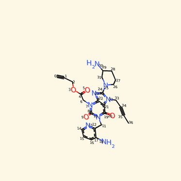 C#CCOC(=O)Cn1c(=O)n(Cc2ncccc2N)c(=O)c2c1nc(N1CCCC(N)C1)n2CC#CC